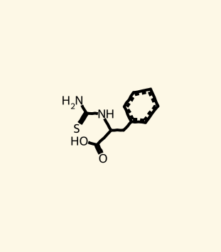 NC(=S)NC(Cc1ccccc1)C(=O)O